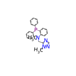 CN(Cc1ncnn1C)c1ccccc1P(c1ccccc1)c1ccccc1